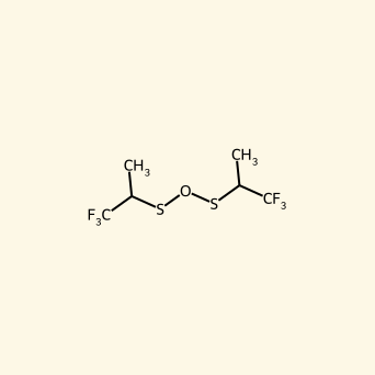 CC(SOSC(C)C(F)(F)F)C(F)(F)F